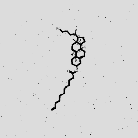 C=CCCCCCCCCC(=O)OC1CC[C@@]2(C)C(=CC[C@H]3[C@@H]4CC[C@H]([C@H](C)CCCC(C)C)[C@@]4(C)CC[C@@H]32)C1